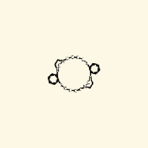 c1ccc2c(c1)SCCCCN1CCN(C1)c1ccccc1SCCCCN1CCN2C1